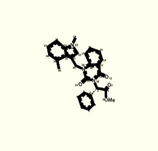 COC(=O)[C@H](c1ccccc1)n1c(=O)c2ccccc2n(Cc2cn(C)c3cccc(C)c23)c1=O